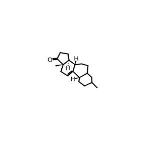 CC1CC[C@@H]2C3=CC[C@]4(C)C(=O)CC[C@H]4[C@@H]3CCC2C1